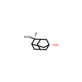 CN[C@H]1C2CC3CC1C[C@](O)(C3)C2